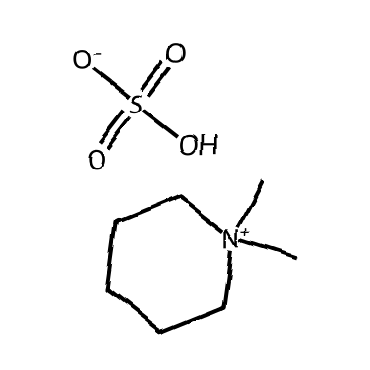 C[N+]1(C)CCCCC1.O=S(=O)([O-])O